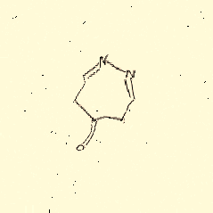 O=C1[C]C=NN=CC1